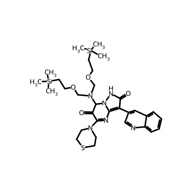 C[Si](C)(C)CCOCN(COCC[Si](C)(C)C)C1C(=O)C(N2CCSCC2)=Nc2c(-c3cnc4ccccc4c3)c(=O)[nH]n21